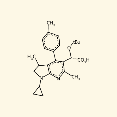 Cc1ccc(-c2c3c(nc(C)c2[C@H](OC(C)(C)C)C(=O)O)N(C2CC2)CC3C)cc1